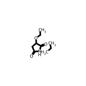 CCC.CCOC1CC(=O)NC1=O